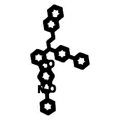 c1ccc(-c2ccc(C(CCc3ccc4ccccc4c3)c3cccc4c3oc3cc5oc(-c6ccccc6)nc5cc34)cc2)cc1